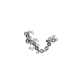 CNc1cc(=O)n(-c2ccnc3c2cc([C@H](C)N2CC=C(c4c(C)cc(C(=O)N5CCC(CN6CCN(c7ccc8c(c7)C7(CC7)C(=O)N8[C@@H]7CCC(=O)NC7=O)CC6)CC5)cc4F)CC2)n3C)cc1F